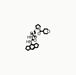 O=C(Nc1c2c(cc3c1CCC3)CCC2)NS(=O)(=O)/C=C/[C@@H]1CCCN1C(=O)C1CCOCC1